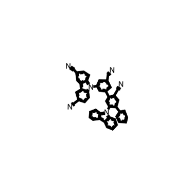 N#Cc1cc(-c2cc(-n3c4ccccc4c4ccccc43)c(-c3ccccc3)cc2C#N)cc(-n2c3ccc(C#N)cc3c3cc(C#N)ccc32)c1